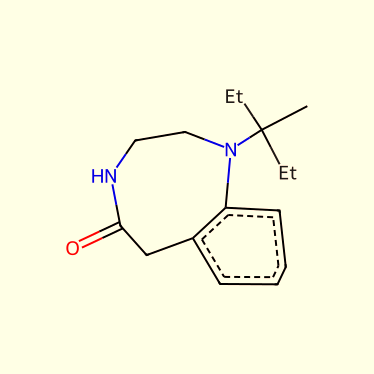 CCC(C)(CC)N1CCNC(=O)Cc2ccccc21